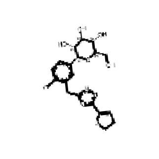 OC[C@H]1O[C@@H](c2ccc(Cl)c(Cc3nnc(C4=CCCO4)s3)c2)[C@H](O)[C@@H](O)[C@@H]1O